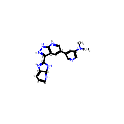 CN(C)c1cncc(-c2cnc3[nH]nc(-c4nc5cccnc5[nH]4)c3c2)c1